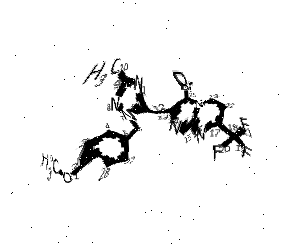 COc1ccc(Cn2nc(C)nc2-c2nc3nc(C(F)(F)F)ccn3c2Br)cc1